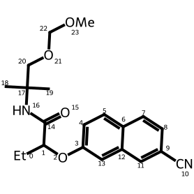 CCC(Oc1ccc2ccc(C#N)cc2c1)C(=O)NC(C)(C)COCOC